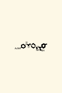 CC(=O)N[C@H]1CC[C@H](NC(=O)CN2CCN(C(=N)/N=C(\C=N)c3ccc(C)cc3)CC2)CC1